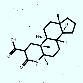 C[C@@]12CCC[C@H]1[C@@H]1CC[C@H]3NC(=O)C(C(=O)O)C[C@]3(C)[C@H]1CC2